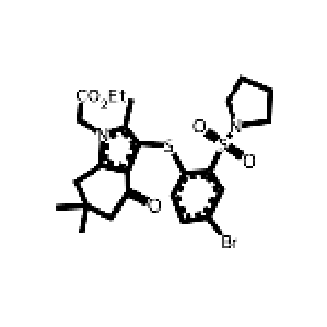 CCOC(=O)Cn1c(C)c(Sc2ccc(Br)cc2S(=O)(=O)N2CCCC2)c2c1CC(C)(C)CC2=O